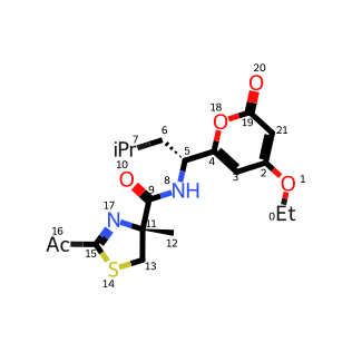 CCOc1cc([C@@H](CC(C)C)NC(=O)[C@]2(C)CSC(C(C)=O)=N2)oc(=O)c1